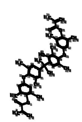 C=C(C)C(=O)Oc1c(C)cc(Oc2c(C)cc(C(C)(C)c3cc(C)c(Oc4cc(C)c(OC(=O)C(=C)C)c(C)c4)c(C)c3O)cc2C)cc1C